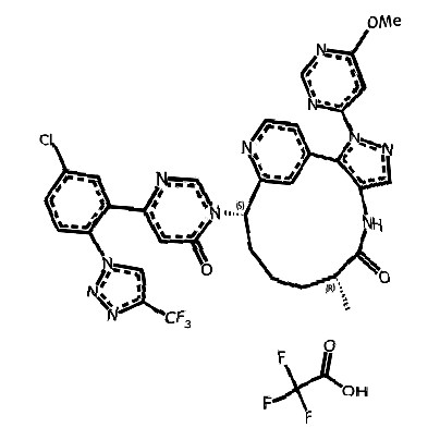 COc1cc(-n2ncc3c2-c2ccnc(c2)[C@@H](n2cnc(-c4cc(Cl)ccc4-n4cc(C(F)(F)F)nn4)cc2=O)CCC[C@@H](C)C(=O)N3)ncn1.O=C(O)C(F)(F)F